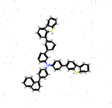 c1cc(-c2cccc(N(c3ccc(-c4ccc5c(c4)sc4ccccc45)cc3)c3ccc(-c4cccc5ccccc45)cc3)c2)cc(-c2cccc3c2sc2ccccc23)c1